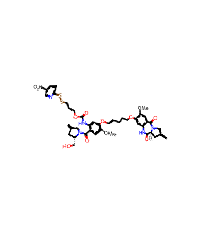 C=C1C[C@@H](CO)N(C(=O)c2cc(OC)c(OCCCCCOc3cc4c(cc3OC)C(=O)N3CC(=C)C[C@H]3C(=O)N4)cc2NC(=O)OCCCSSc2ccc([N+](=O)[O-])cn2)C1